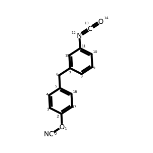 N#COc1ccc(Cc2cccc(N=C=O)c2)cc1